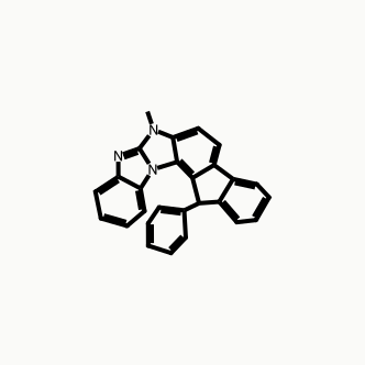 Cn1c2ccc3c(c2n2c4ccccc4nc12)C(c1ccccc1)c1ccccc1-3